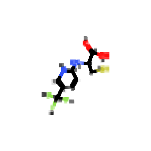 O=C(O)C(CS)Nc1ccc(C(F)(F)F)cn1